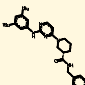 Cc1ccc(CNC(=O)[C@H]2CCCN(c3ccnc(Nc4cc(C(C)(C)C)cc(C(C)(C)C)c4)n3)C2)cc1